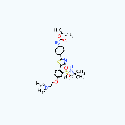 CC(C)OC(=O)N[C@H]1CC[C@H](c2ncc(-c3ccc(OCCN(C)C)cc3S(=O)(=O)NC(C)(C)C)s2)CC1